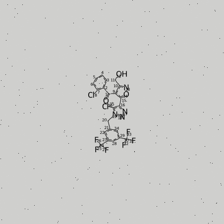 O=C(c1ccccc1Cl)c1c(CO)noc1-c1nnn(Cc2cc(C(F)(F)F)cc(C(F)(F)F)c2)c1Cl